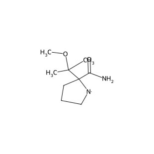 COC(C)(C)C1(C(N)=O)CCC[N]1